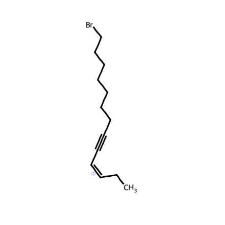 CC/C=C\C#CCCCCCCCBr